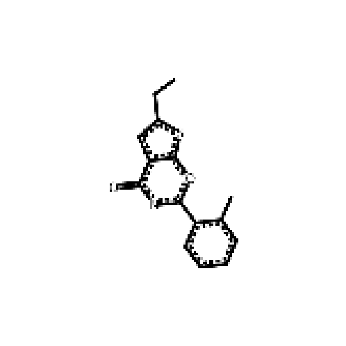 CCc1cc2c(=O)nc(-c3ccccc3C)oc2s1